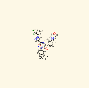 O=C(O)c1ccc(NC(=O)C2c3cccc(N4CCOCC4)c3CCN2C(=O)c2cnn(-c3cccc(Cl)c3F)c2)cc1